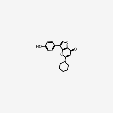 O=c1cc(N2CCCCC2)oc2c(-c3ccc(O)cc3)csc12